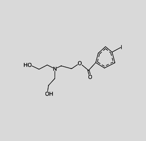 O=C(OCCN(CCO)CCO)c1ccc(I)cc1